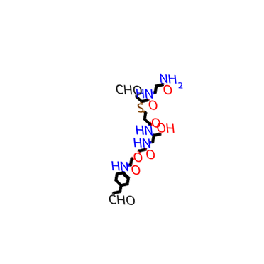 NC(=O)CCNC(=O)C(CC=O)SCCC(=O)NC(CO)CNC(=O)COCC(=O)NC1=CCC(CCC=O)CC1